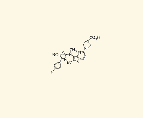 CCc1sc2ccc(N3CCN(C(=O)O)CC3)nc2c1N(C)c1nc(-c2ccc(F)cc2)c(C#N)s1